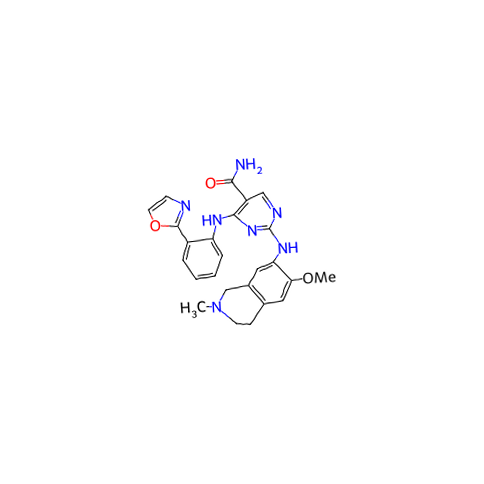 COc1cc2c(cc1Nc1ncc(C(N)=O)c(Nc3ccccc3-c3ncco3)n1)CN(C)CC2